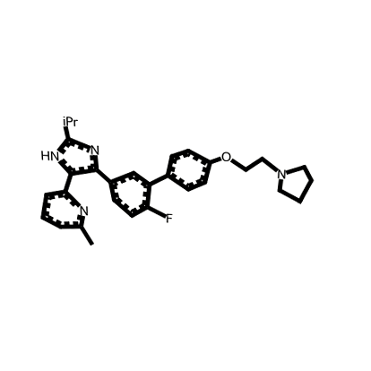 Cc1cccc(-c2[nH]c(C(C)C)nc2-c2ccc(F)c(-c3ccc(OCCN4CCCC4)cc3)c2)n1